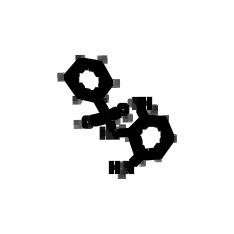 Nc1cccc(N)c1NS(=O)(=O)c1ccccc1